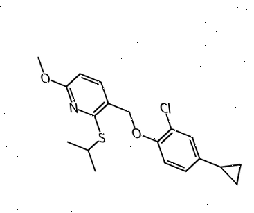 COc1ccc(COc2ccc(C3CC3)cc2Cl)c(SC(C)C)n1